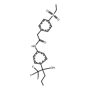 CCCC(O)(c1ccc(NC(=O)Cc2ccc(S(=O)(=O)CC)cc2)cc1)C(F)(F)F